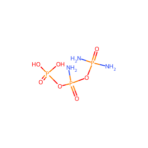 NP(N)(=O)OP(N)(=O)OP(=O)(O)O